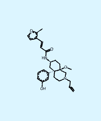 C=CCN1CC[C@@]2(c3cccc(O)c3)C[C@@H](NC(=O)C=Cc3ccoc3C)CC[C@]2(OC)C1